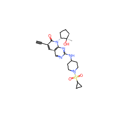 C#Cc1cc2cnc(NC3CCN(S(=O)(=O)C4CC4)CC3)nc2n([C@@H]2CCC[C@@]2(C)O)c1=O